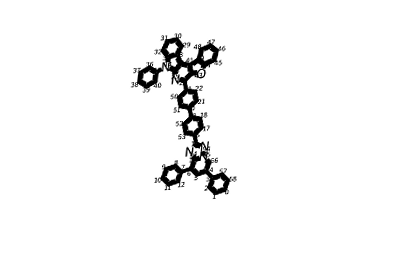 c1ccc(-c2cc(-c3ccccc3)c3nc(-c4ccc(-c5ccc(-c6nc7c(c8ccccc8n7-c7ccccc7)c7c6oc6ccccc67)cc5)cc4)nn3c2)cc1